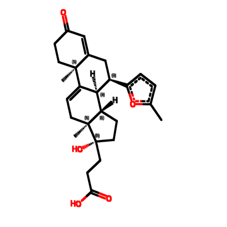 Cc1ccc([C@@H]2CC3=CC(=O)CC[C@]3(C)C3=CC[C@@]4(C)[C@@H](CC[C@@]4(O)CCC(=O)O)[C@@H]32)o1